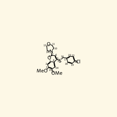 COc1ccc(/C(=C\C(=O)N2CCOCC2)SCc2ccc(Cl)cc2)cc1OC